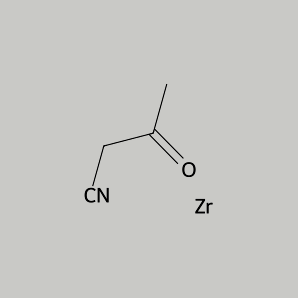 CC(=O)CC#N.[Zr]